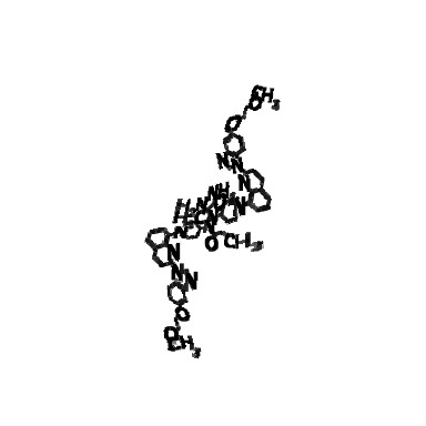 CCC(=O)N(C1CCN(c2cccc3ccc(-n4cnc5cc(OCCOC)ccc54)nc23)CC1)N(C1CCN(c2cccc3ccc(-n4cnc5cc(OCCOC)ccc54)nc23)CC1)[C@](C)(N)C(N)=O